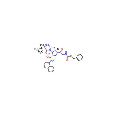 CC(C)(C)C(N)C(=O)N1CC[C@@H]2[C@H]1[C@@H](C(=O)Nc1cccc3ccccc13)CN2C(=O)CNC(=O)OCc1ccccc1